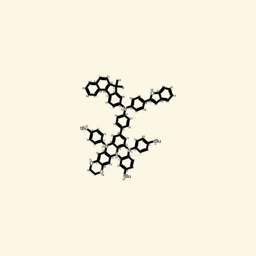 CC(C)(C)c1ccc(N2c3ccc(C(C)(C)C)cc3B3c4cc5c(cc4N(c4ccc(C(C)(C)C)cc4)c4cc(-c6ccc(N(c7ccc(-c8cc9ccccc9o8)cc7)c7ccc8c(c7)C(C)(C)c7ccc9ccccc9c7-8)cc6)cc2c43)OCCO5)cc1